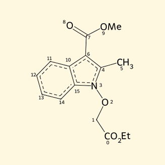 CCOC(=O)COn1c(C)c(C(=O)OC)c2ccccc21